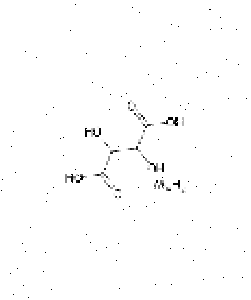 O=C(O)C(O)C(O)C(=O)O.[MgH2]